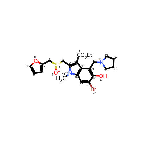 CCOC(=O)c1c(C[S+]([O-])Cc2ccco2)n(C)c2cc(Br)c(O)c(CN3CCCC3)c12